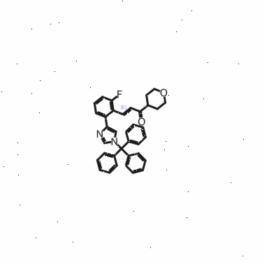 O=C(/C=C/c1c(F)cccc1-c1cn(C(c2ccccc2)(c2ccccc2)c2ccccc2)cn1)C1CCOCC1